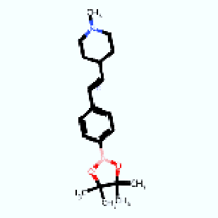 CN1CCC(/C=C/c2ccc(B3OC(C)(C)C(C)(C)O3)cc2)CC1